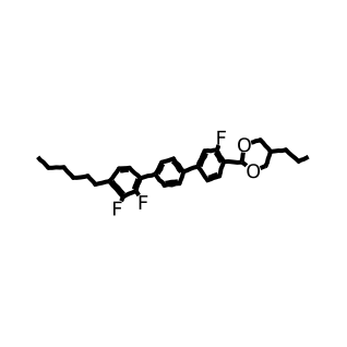 CCCCCCc1ccc(-c2ccc(-c3ccc(C4OCC(CCC)CO4)c(F)c3)cc2)c(F)c1F